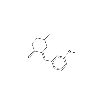 COc1cccc(C=C2CC(C)CCC2=O)c1